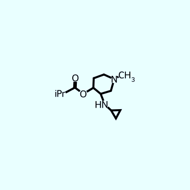 CC(C)C(=O)OC1CCN(C)CC1NC1CC1